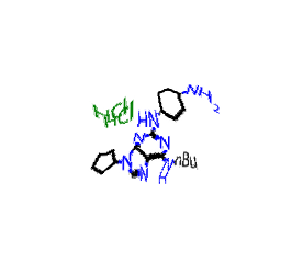 CCCCNc1nc(N[C@H]2CC[C@H](N)CC2)nc2c1ncn2C1CCCC1.Cl.Cl